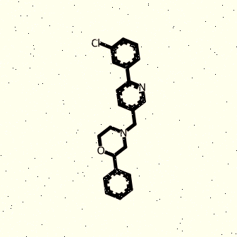 Clc1cccc(-c2ccc(CN3CCOC(c4ccccc4)C3)cn2)c1